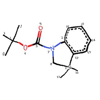 CC(C)(C)OC(=O)N1C[Si](C)(C)c2ccccc21